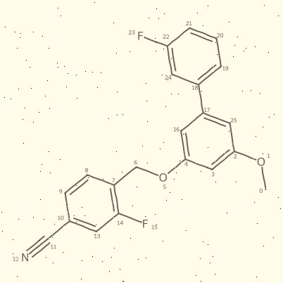 COc1cc(OCc2ccc(C#N)cc2F)cc(-c2cccc(F)c2)c1